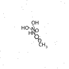 CCOc1ccc(NC(=O)N(CCO)CCO)cc1